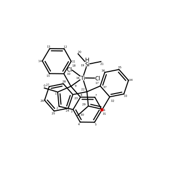 CC1=Cc2ccccc2[C]1(c1ccccc1)[Ti]([Cl])([Cl])([SiH](C)C)[C]1(c2ccccc2)C(C)=Cc2ccccc21